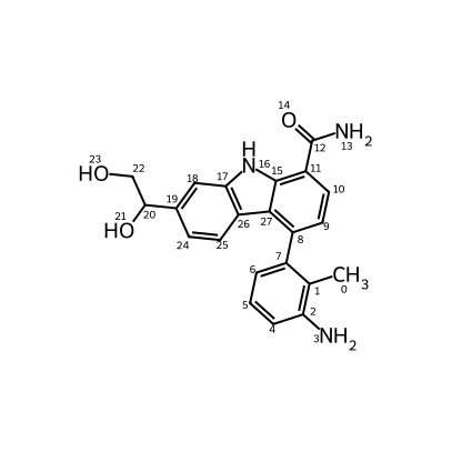 Cc1c(N)cccc1-c1ccc(C(N)=O)c2[nH]c3cc(C(O)CO)ccc3c12